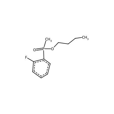 CCCCOP(C)(=O)c1ccccc1F